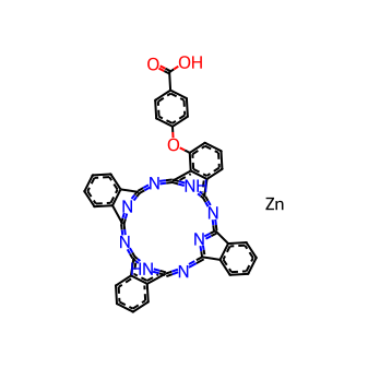 O=C(O)c1ccc(Oc2cccc3c4nc5nc(nc6[nH]c(nc7nc(nc([nH]4)c23)-c2ccccc2-7)c2ccccc62)-c2ccccc2-5)cc1.[Zn]